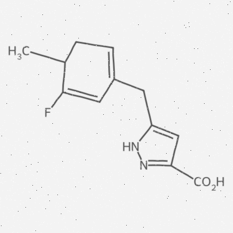 CC1CC=C(Cc2cc(C(=O)O)n[nH]2)C=C1F